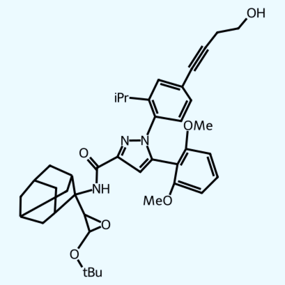 COc1cccc(OC)c1-c1cc(C(=O)NC2(C3OC3OC(C)(C)C)C3CC4CC(C3)CC2C4)nn1-c1ccc(C#CCCO)cc1C(C)C